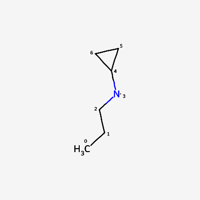 CCC[N]C1CC1